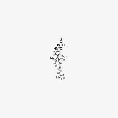 CC(C)NC(=O)Nc1ccc(-c2c(C#N)c3ccc(OCCCC4=NCCN4)cc3n2C2CCC2)cc1